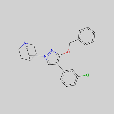 Clc1cccc(-c2cn(C3CN4CCC3CC4)nc2OCc2ccccc2)c1